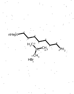 Br.CCCCCCCCCCCCCCP.CN(C)C